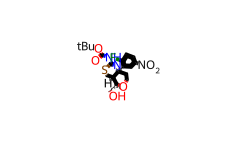 CC(C)(C)OC(=O)NC1=N[C@@]2(c3cc([N+](=O)[O-])ccc3F)CCO[C@H](CO)[C@H]2CS1